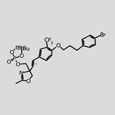 CC1=NC(/C=C/c2ccc(OCCCc3ccc(Br)cc3)c(C(F)(F)F)c2)(COP(=O)(OC(C)(C)C)OC(C)(C)C)CO1